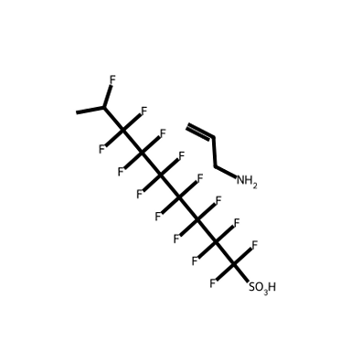 C=CCN.CC(F)C(F)(F)C(F)(F)C(F)(F)C(F)(F)C(F)(F)C(F)(F)C(F)(F)S(=O)(=O)O